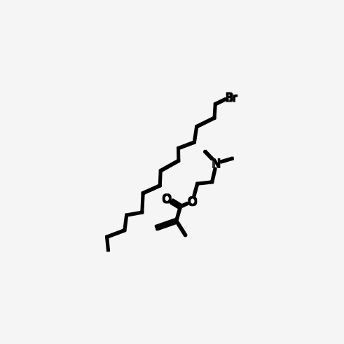 C=C(C)C(=O)OCCN(C)C.CCCCCCCCCCCCCCBr